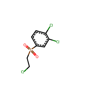 O=S(=O)(CCCl)c1ccc(Cl)c(Cl)c1